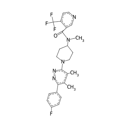 Cc1c(-c2ccc(F)cc2)nnc(N2CCC(N(C)C(=O)c3cnccc3C(F)(F)F)CC2)c1C